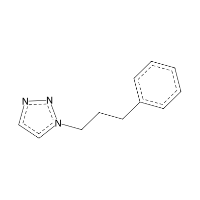 c1ccc(CCCn2ccnn2)cc1